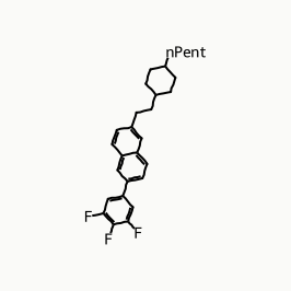 CCCCCC1CCC(CCc2ccc3cc(-c4cc(F)c(F)c(F)c4)ccc3c2)CC1